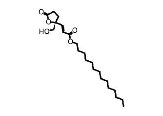 CCCCCCCCCCCCCCOC(=O)C=C[C@@]1(CO)CCC(=O)O1